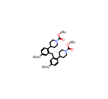 COc1ccc(C2CCN(C(=O)OC(C)(C)C)CC2)c(Cc2cc(OC)ccc2C2CCN(C(=O)OC(C)(C)C)CC2)c1